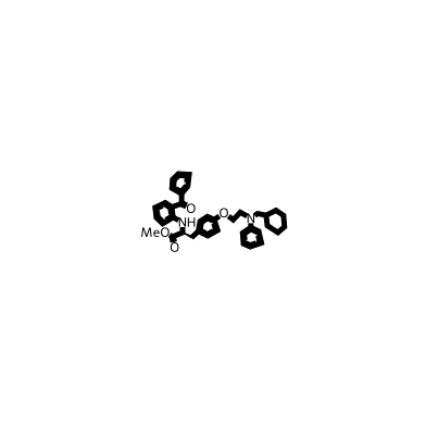 COC(=O)[C@H](Cc1ccc(OCCN(CC2CCCCC2)c2ccccc2)cc1)Nc1ccccc1C(=O)c1ccccc1